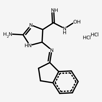 Cl.Cl.N=C(NO)C1N=C(N)NC1N=C1CCc2ccccc21